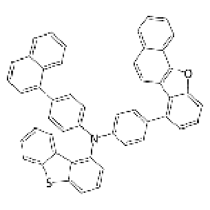 c1ccc2c(-c3ccc(N(c4ccc(-c5cccc6oc7c8ccccc8ccc7c56)cc4)c4cccc5sc6ccccc6c45)cc3)cccc2c1